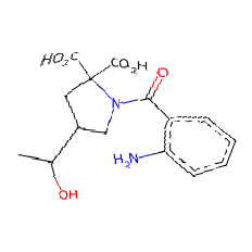 CC(O)C1CN(C(=O)c2ccccc2N)C(C(=O)O)(C(=O)O)C1